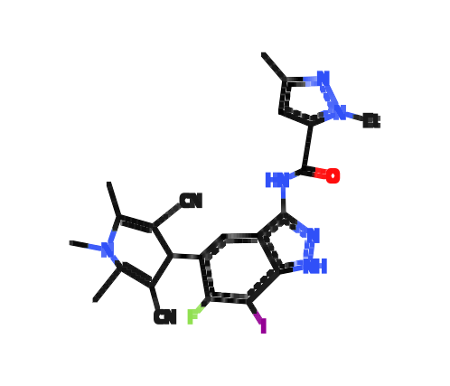 CCn1nc(C)cc1C(=O)Nc1n[nH]c2c(I)c(F)c(C3C(C#N)=C(C)N(C)C(C)=C3C#N)cc12